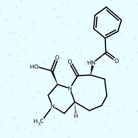 CN1C[C@@H]2CCCC[C@H](NC(=O)c3ccccc3)C(=O)N2[C@H](C(=O)O)C1